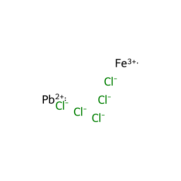 [Cl-].[Cl-].[Cl-].[Cl-].[Cl-].[Fe+3].[Pb+2]